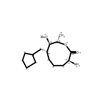 CC(C)CO[C@@H]1[C@@H](CC2CCCC2)CCC[C@H](N)C(=O)O[C@H]1C